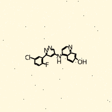 Oc1ccc2c(Nc3cnnc(-c4cc(Cl)ccc4F)c3)ccnc2c1